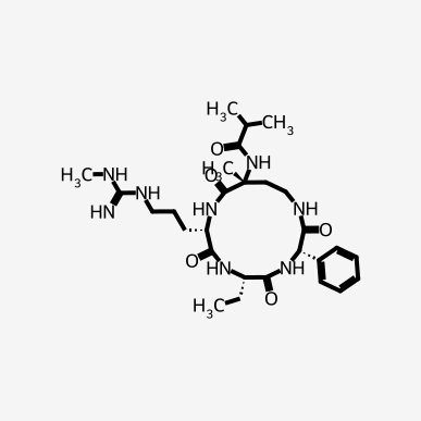 CC[C@@H]1NC(=O)[C@H](CCCNC(=N)NC)NC(=O)[C@](C)(NC(=O)C(C)C)CCNC(=O)[C@H](c2ccccc2)NC1=O